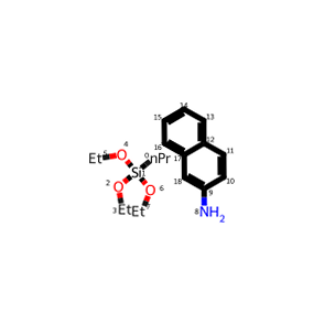 CCC[Si](OCC)(OCC)OCC.Nc1ccc2ccccc2c1